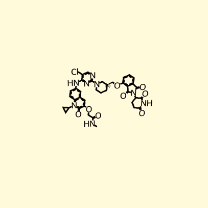 CNC(=O)COc1cc2cc(Nc3nc(N4CCC[C@H](COc5cccc6c5C(=O)N(C5CCC(=O)NC5=O)C6=O)C4)ncc3Cl)ccc2n(C2CC2)c1=O